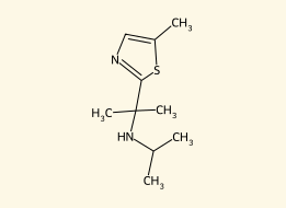 Cc1cnc(C(C)(C)NC(C)C)s1